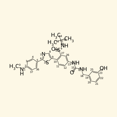 CNc1ccc(-c2ncc(-c3ccc(NC(=O)NCc4cccc(O)c4)cc3[S+]([O-])NC(C)(C)C)s2)cc1